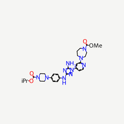 COC(=O)N1CCCN(c2cc(-n3nc(Nc4ccc(N5CCN(C(=O)OC(C)C)CC5)cc4)nc3N)ccn2)CC1